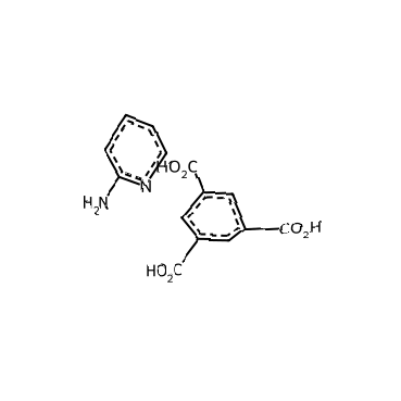 Nc1ccccn1.O=C(O)c1cc(C(=O)O)cc(C(=O)O)c1